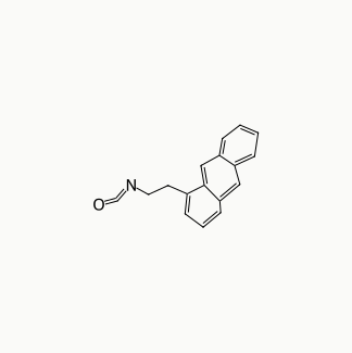 O=C=NCCc1cccc2cc3ccccc3cc12